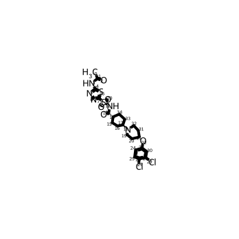 CC(=O)Nc1nnc(S(=O)(=O)NC(=O)[C@H]2CC[C@H](N3CCC(Oc4ccc(Cl)c(Cl)c4)CC3)CC2)s1